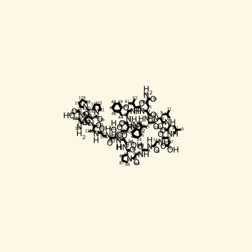 CC(C)C[C@H](NC(=O)[C@H](CC(C)C)NC(=O)[C@H](Cc1c[nH]c2ccccc12)NC(=O)[C@H](CCC(N)=O)NC(=O)[C@@H](NC(=O)[C@H](Cc1ccccc1)NC(=O)[C@@H](N)CC(=O)O)C(C)C)C(=O)N[C@@H](CC(=O)O)C(=O)NCC(=O)NCC(=O)NCC(=O)N1CCC[C@H]1C(=O)N[C@@H](CO)C(=O)N[C@@H](CO)C(=O)NCC(=O)N[C@@H](C)C(=O)N1CCC[C@H]1C(=O)N1CCC[C@H]1C(=O)N1CCC[C@H]1C(=O)N[C@@H](CO)C(N)=O